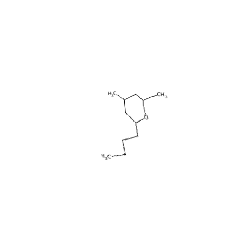 CCCCC1CC(C)CC(C)O1